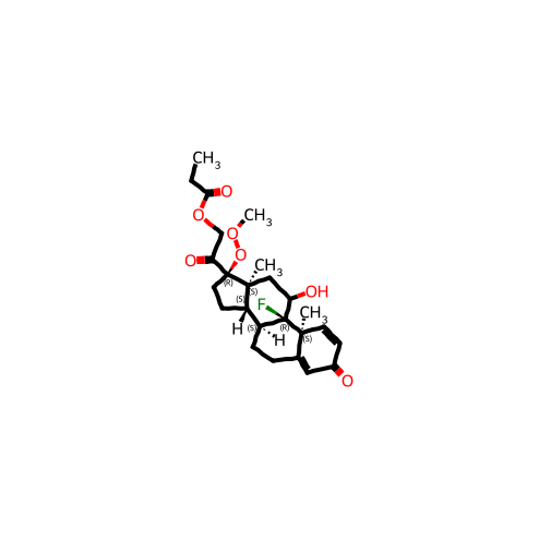 CCC(=O)OCC(=O)[C@@]1(OOC)CC[C@H]2[C@@H]3CCC4=CC(=O)C=C[C@]4(C)[C@@]3(F)C(O)C[C@@]21C